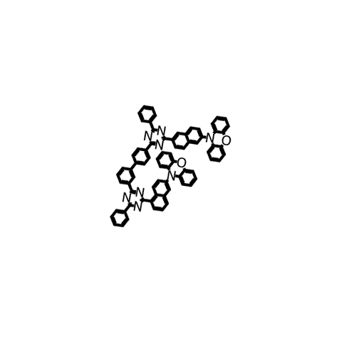 c1ccc(-c2nc(-c3ccc(-c4cccc(-c5nc(-c6ccccc6)nc(-c6cccc7cc(N8c9ccccc9Oc9ccccc98)ccc67)n5)c4)cc3)nc(-c3ccc4cc(N5c6ccccc6Oc6ccccc65)ccc4c3)n2)cc1